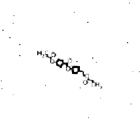 C=CC(=O)OCCc1ccc(OC(=O)c2ccc(OC(=O)C=C)cc2)cc1